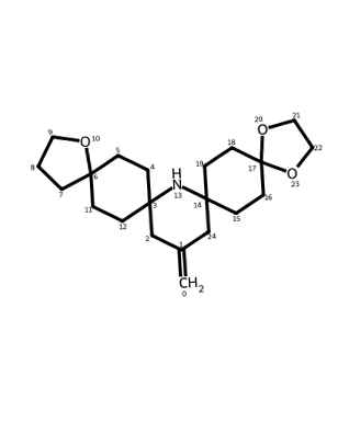 C=C1CC2(CCC3(CCCO3)CC2)NC2(CCC3(CC2)OCCO3)C1